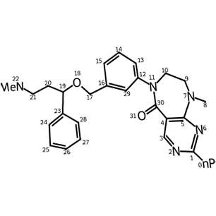 CCCc1ncc2c(n1)N(C)CCN(c1cccc(COC(CCNC)c3ccccc3)c1)C2=O